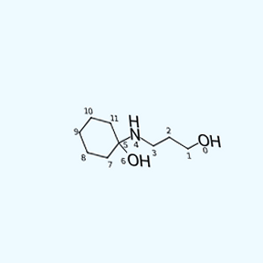 OCCCNC1(O)CCCCC1